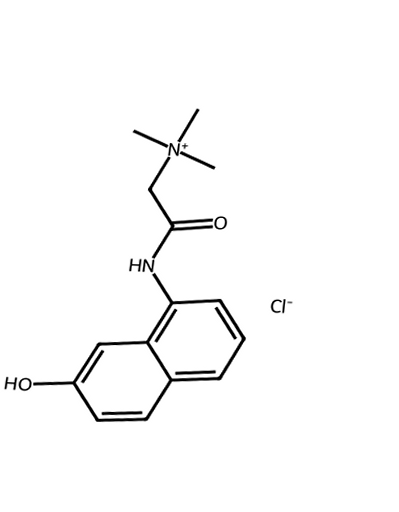 C[N+](C)(C)CC(=O)Nc1cccc2ccc(O)cc12.[Cl-]